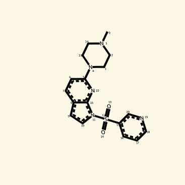 CN1CCN(c2ccc3ccn(S(=O)(=O)c4cccnc4)c3n2)CC1